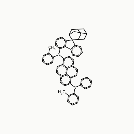 Cc1ccccc1N(c1ccccc1)c1ccc2ccc3c(N(c4ccccc4C)c4cccc5c4-c4ccccc4C54C5CC6CC(C5)CC4C6)ccc4ccc1c2c43